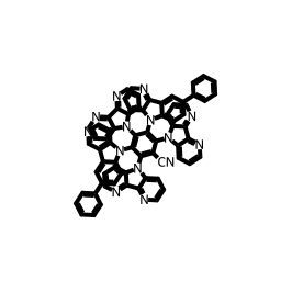 N#Cc1c(-n2c3cccnc3c3ncccc32)c(-n2c3ccncc3c3cc(-c4ccccc4)ccc32)c(-n2c3cccnc3c3ncccc32)c(-n2c3ccc(-c4ccccc4)cc3c3ncccc32)c1-n1c2cccnc2c2ncccc21